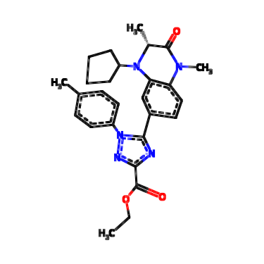 CCOC(=O)c1nc(-c2ccc3c(c2)N(C2CCCC2)[C@H](C)C(=O)N3C)n(-c2ccc(C)cc2)n1